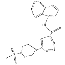 CS(=O)(=O)N1CCN(c2ccnc(C(=O)Nc3cccc4cccnc34)c2)CC1